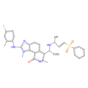 CCCC(/C=C/S(=O)(=O)c1ccccc1)NC(C=O)c1c(C)[nH]c(=O)c2c1ccc1nc(Nc3ccc(F)cc3C)n(C)c12